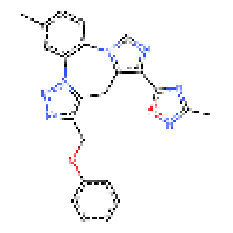 Cc1ccc2c(c1)-n1nnc(COc3ccccc3)c1Cc1c(-c3nc(C)no3)ncn1-2